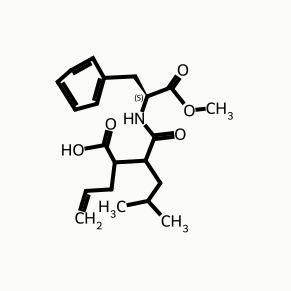 C=CCC(C(=O)O)C(CC(C)C)C(=O)N[C@@H](Cc1ccccc1)C(=O)OC